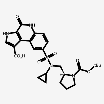 CC(C)(C)OC(=O)N1CCC[C@H]1CN(C1CC1)S(=O)(=O)c1ccc2[nH]c(=O)c3[nH]cc(C(=O)O)c3c2c1